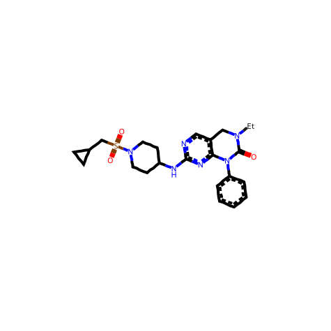 CCN1Cc2cnc(NC3CCN(S(=O)(=O)CC4CC4)CC3)nc2N(c2ccccc2)C1=O